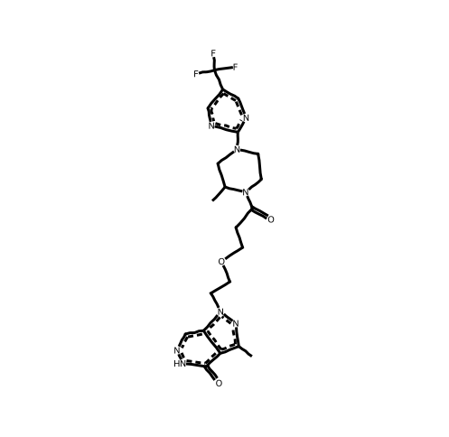 Cc1nn(CCOCCC(=O)N2CCN(c3ncc(C(F)(F)F)cn3)CC2C)c2cn[nH]c(=O)c12